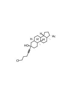 CC(=O)[C@H]1CC[C@H]2[C@@H]3CC[C@@H]4C[C@@](O)(C#CCCCCl)CC[C@]4(C)[C@H]3CC[C@]12C